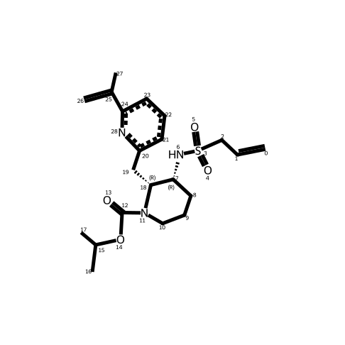 C=CCS(=O)(=O)N[C@@H]1CCCN(C(=O)OC(C)C)[C@@H]1Cc1cccc(C(=C)C)n1